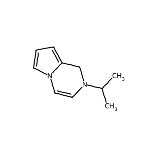 CC(C)N1C=Cn2cccc2C1